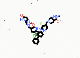 CNC(=O)C1CCN(Cc2ccnc(N[C@]3(c4ccc(CNCC5CCC(=O)N5)c(OC)n4)C=CC=C(c4ccccc4)C3(Cl)Cl)c2F)CC1